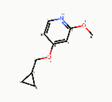 COc1cc(OCC2CC2)ccn1